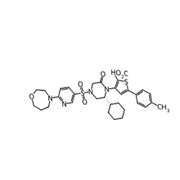 Cc1ccc(-c2cc(N3C(=O)CN(S(=O)(=O)c4ccc(N5CCCOCC5)nc4)C[C@H]3C3CCCCC3)c(C(=O)O)s2)cc1